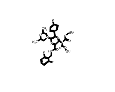 CC1CN(c2nc(C(=O)NCc3c(F)cccc3F)c(N(C(=O)OC(C)(C)C)C(=O)OC(C)(C)C)nc2-c2ccc(F)cc2)CC(C)O1